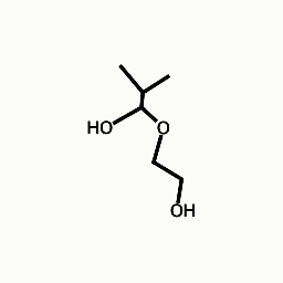 CC(C)C(O)OCCO